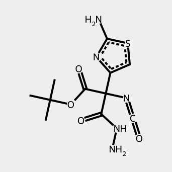 CC(C)(C)OC(=O)C(N=C=O)(C(=O)NN)c1csc(N)n1